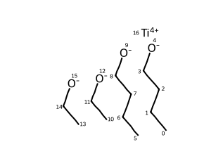 CCCC[O-].CCCC[O-].CC[O-].CC[O-].[Ti+4]